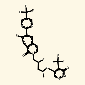 C[C@@H](CC(F)Cn1ccc2cc(-c3ncc(C(F)(F)F)cn3)c(F)cc2c1=O)Oc1cn[nH]c(=O)c1C(F)(F)F